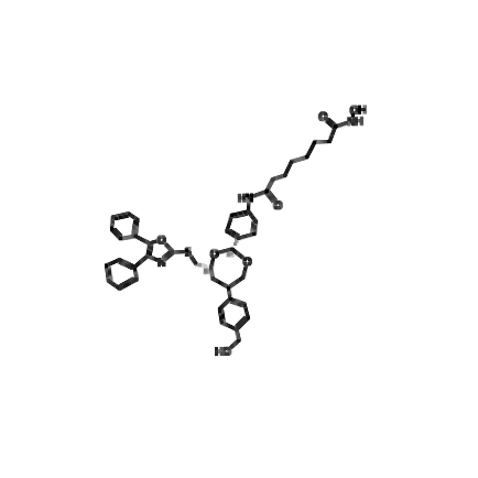 O=C(CCCCCCC(=O)Nc1ccc([C@@H]2OCC(c3ccc(CO)cc3)C[C@H](CSc3nc(-c4ccccc4)c(-c4ccccc4)o3)O2)cc1)NO